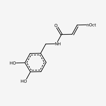 CCCCCCCC/C=C/C(=O)NCc1ccc(O)c(O)c1